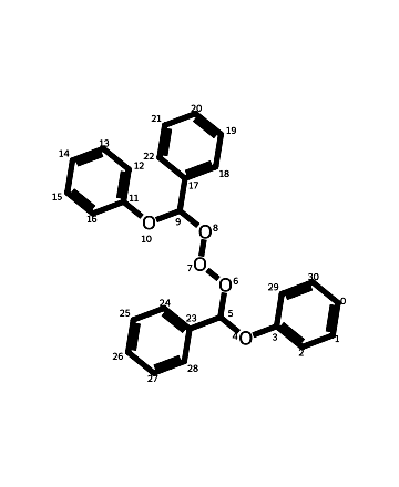 c1ccc(OC(OOOC(Oc2ccccc2)c2ccccc2)c2ccccc2)cc1